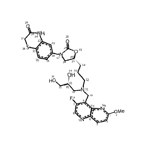 COc1ccc2ncc(F)c(CN(CCC[C@@H]3CN(c4ccc5c(c4)NC(=O)CS5)C(=O)O3)C[C@@H](O)CO)c2n1